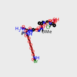 COCCN(CCN(C)C(=O)OCc1ccc(NC(=O)[C@H](CCCNC(N)=O)NC(=O)C(NC(=O)CCOCCOCCOCCOCCOCCOCCNC(=O)CBr)C(C)C)cc1)C(=O)Oc1cc2c(c3ccccc13)CCN2C(=O)c1ccc(C(=O)N2C[C@@H](CCl)c3c2cc(OP(=O)(O)O)c2ccccc32)s1